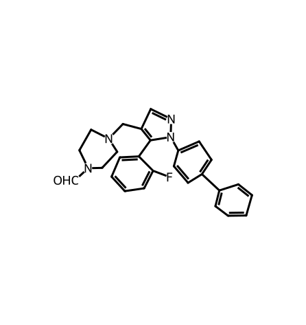 O=CN1CCN(Cc2cnn(-c3ccc(-c4ccccc4)cc3)c2-c2ccccc2F)CC1